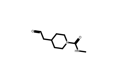 CNC(=O)N1CCC(CC=O)CC1